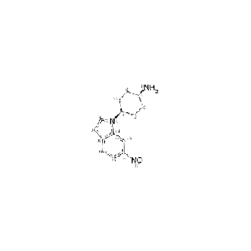 N[C@H]1CC[C@@H](n2ccc3ccc(N=O)cc32)CC1